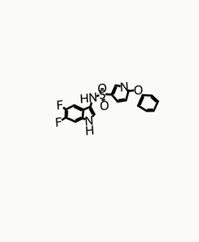 O=S(=O)(Nc1c[nH]c2cc(F)c(F)cc12)c1ccc(Oc2ccccc2)nc1